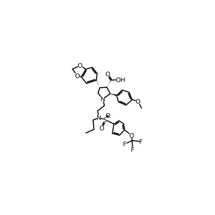 CCCN(CCN1C[C@H](c2ccc3c(c2)OCO3)[C@H](C(=O)O)[C@H]1c1ccc(OC)cc1)S(=O)(=O)c1ccc(OC(F)(F)F)cc1